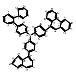 c1ccc(-c2ccccc2-c2ccc(N(c3ccc(-c4cccc5ccccc45)cc3)c3ccc(-c4cc5ccccc5c5ccccc45)cc3)cc2)cc1